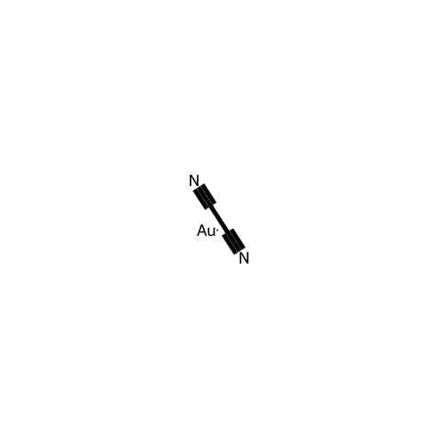 N#CC#N.[Au]